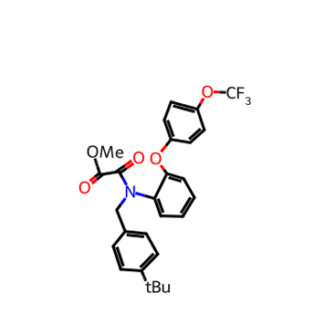 COC(=O)C(=O)N(Cc1ccc(C(C)(C)C)cc1)c1ccccc1Oc1ccc(OC(F)(F)F)cc1